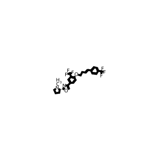 CN1CCC[C@H]1c1nc(-c2ccc(OCC/C=C/c3ccc(C(F)(F)F)cc3)c(C(F)(F)F)c2)co1